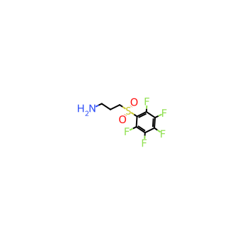 NCCCS(=O)(=O)c1c(F)c(F)c(F)c(F)c1F